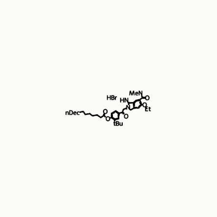 Br.CCCCCCCCCCCCCCCCC(=O)Oc1ccc(C(=O)CN2Cc3cc(OCC)c(C(=O)NC)cc3C2=N)cc1C(C)(C)C